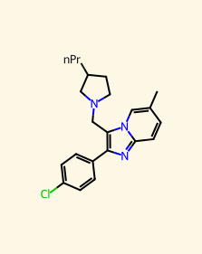 CCCC1CCN(Cc2c(-c3ccc(Cl)cc3)nc3ccc(C)cn23)C1